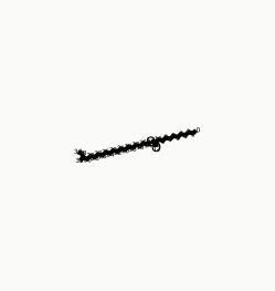 CCCCCCCCCCCC(=O)OCCCCCCCCCCCCCCCCCC(C)CC